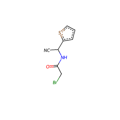 N#CC(NC(=O)CBr)c1cccs1